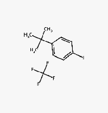 CC(C)(C)c1ccc(I)cc1.FC(F)(F)F